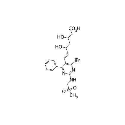 CC(C)c1nc(NCS(C)(=O)=O)nc(-c2ccccc2)c1C=CC(O)CC(O)CC(=O)O